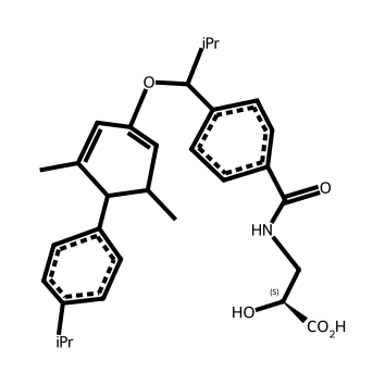 CC1=CC(OC(c2ccc(C(=O)NC[C@H](O)C(=O)O)cc2)C(C)C)=CC(C)C1c1ccc(C(C)C)cc1